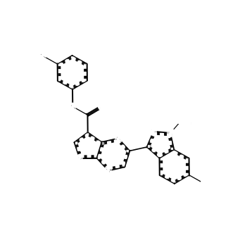 Cn1nc(-c2cnc3[nH]cc(C(=O)Nc4cccc(N)c4)c3n2)c2ccc(Cl)cc21